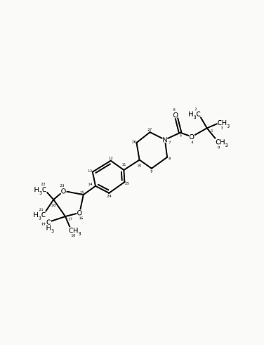 CC(C)(C)OC(=O)N1CCC(c2ccc(C3OC(C)(C)C(C)(C)O3)cc2)CC1